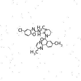 Cc1ccc(-c2nccc(C)n2)c(C(=O)N2CCC[C@@H](C)[C@H]2CNc2nc3cc(Cl)ccc3o2)c1